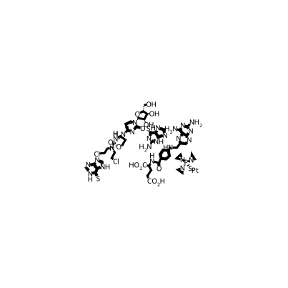 Nc1ccn([C@@H]2O[C@H](CO)[C@@H](O)[C@@H]2O)c(=O)n1.Nc1nc(=S)c2[nH]cnc2[nH]1.Nc1nc(N)c2nc(CNc3ccc(C(=O)NC(CCC(=O)O)C(=O)O)cc3)cnc2n1.O=P1(N(CCCl)CCCl)NCCCO1.S=P(N1CC1)(N1CC1)N1CC1.S=c1[nH]cnc2nc[nH]c12.[Pt]